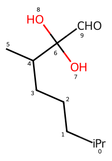 CC(C)CCCC(C)C(O)(O)C=O